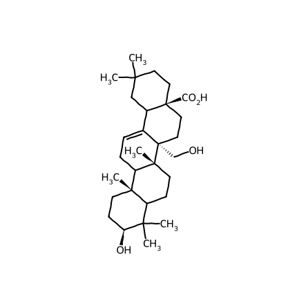 CC1(C)CC[C@]2(C(=O)O)CC[C@]3(CO)C(=CCC4[C@@]5(C)CC[C@H](O)C(C)(C)C5CC[C@]43C)C2C1